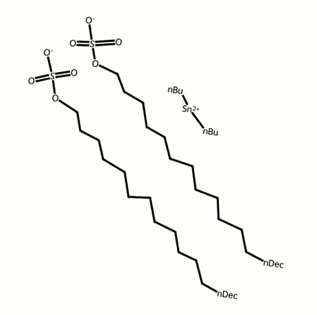 CCCCCCCCCCCCCCCCCCCCCCOS(=O)(=O)[O-].CCCCCCCCCCCCCCCCCCCCCCOS(=O)(=O)[O-].CCC[CH2][Sn+2][CH2]CCC